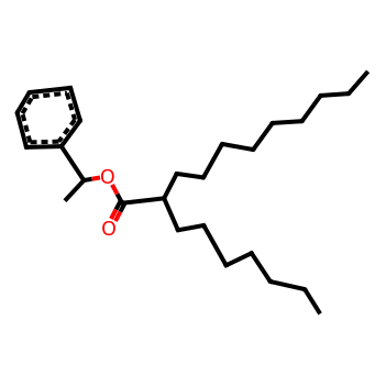 CCCCCCCCCC(CCCCCCC)C(=O)OC(C)c1ccccc1